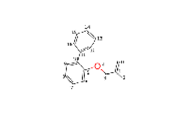 C=C(C)COc1ccccc1-c1ccccc1